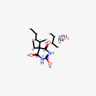 CCCC.CCCC(C)C1(CC)C(=O)N=C([O-])NC1=O.P.[Na+]